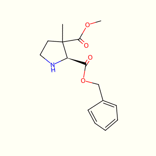 COC(=O)C1(C)CCN[C@@H]1C(=O)OCc1ccccc1